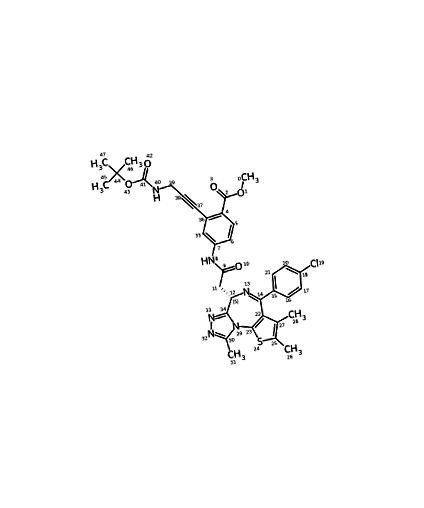 COC(=O)c1ccc(NC(=O)C[C@@H]2N=C(c3ccc(Cl)cc3)c3c(sc(C)c3C)-n3c(C)nnc32)cc1C#CCNC(=O)OC(C)(C)C